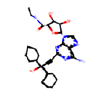 CCNC(=O)[C@H]1O[C@@H](n2cnc3c(N)nc(C#CC(O)(C4CCCCC4)C4CCCCC4)nc32)C(O)C1O